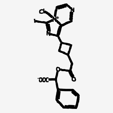 O=C(CC1CC(C2=C3C=NC=C[N+]3(Cl)C(I)=N2)C1)OC(C(=O)[O-])c1ccccc1